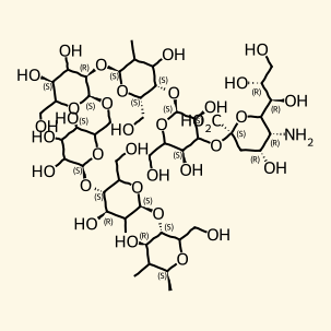 CC1C(O)[C@H](O[C@@H]2OC(CO)[C@H](O)C(O[C@]3(C(=O)O)C[C@@H](O)[C@@H](N)C([C@H](O)[C@H](O)CO)O3)[C@@H]2O)[C@H](CO)O[C@H]1O[C@@H]1C(O)[C@H](O)C(CO)O[C@@H]1OCC1O[C@@H](O[C@@H]2C(CO)O[C@@H](O[C@@H]3C(CO)O[C@@H](C)C(C)[C@H]3O)C(C)[C@H]2O)C(O)C(O)[C@@H]1O